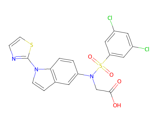 O=C(O)CN(c1ccc2c(ccn2-c2nccs2)c1)S(=O)(=O)c1cc(Cl)cc(Cl)c1